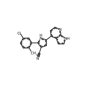 Cc1ccc(Cl)cc1-c1[nH]c(-c2ccnc3[nH]ccc23)cc1C#N